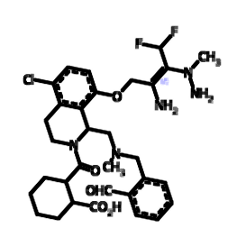 CN(Cc1ccccc1C=O)CC1c2c(OC/C(N)=C(\C(F)F)N(C)N)ccc(Cl)c2CCN1C(=O)C1CCCCC1C(=O)O